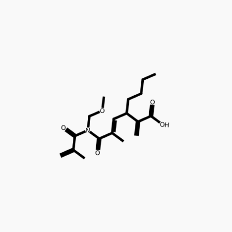 C=C(C)C(=O)N(COC)C(=O)C(C)=CC(CCCC)C(=C)C(=O)O